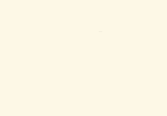 C1=CC(CCC2C=CC3=C2CCCC3)C2=C1CCCC2.[LiH]